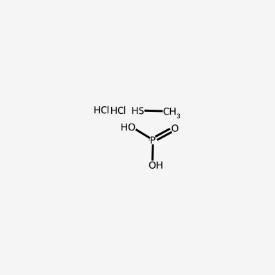 CS.Cl.Cl.O=[P](O)O